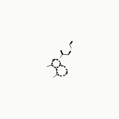 C=C/N=C\C(=C)n1cc(C)c2c(N)ncnc21